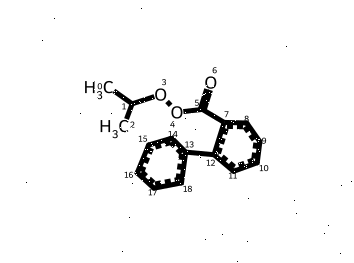 CC(C)OOC(=O)c1ccccc1-c1ccccc1